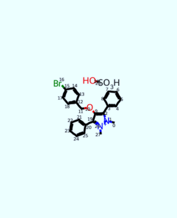 Cn1c(-c2ccccc2)c(OCc2ccc(Br)cc2)c(-c2ccccc2)[n+]1C.O=S(=O)(O)O